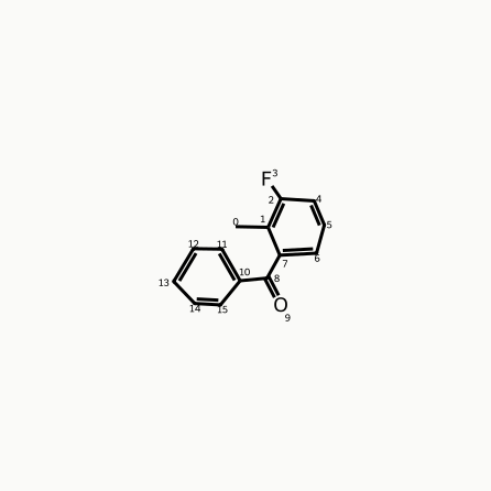 Cc1c(F)cccc1C(=O)c1ccccc1